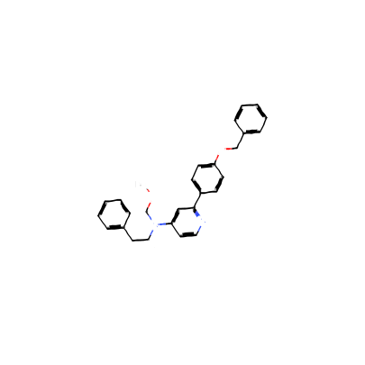 CCOC(=O)[C@H](Cc1ccccc1)N(COC(C)(C)C)c1ccnc(-c2ccc(OCc3ccccc3)cc2)c1